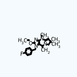 C=C1c2c(nc(OCC)n2Cc2ccc(F)cc2)N(C)C2=CC(C)(C)CN12